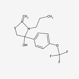 C=C1SCC(O)(c2ccc(OC(F)(F)F)cc2)N1CCC